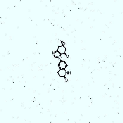 O=C1CCc2cc(-n3cnc4c3C(=O)CC3(CC3)C4)ccc2N1